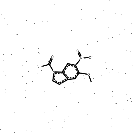 COc1cc2ccn(C(C)=O)c2cc1[N+](=O)[O-]